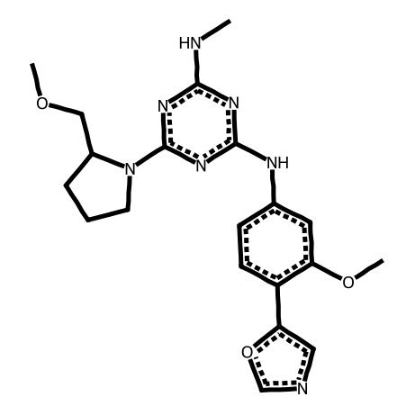 CNc1nc(Nc2ccc(-c3cnco3)c(OC)c2)nc(N2CCCC2COC)n1